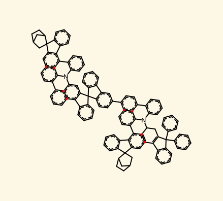 C1=CC(N(c2ccccc2-c2ccc(-c3ccc4c(c3)-c3ccccc3C43c4ccccc4-c4ccc(N(c5ccccc5-c5ccccc5)c5ccccc5-c5cccc6c5-c5ccccc5C65CC6CCC5C6)cc43)cc2)c2ccccc2-c2cccc3c2-c2ccccc2C32CC3CCC2C3)CC2=C1c1ccccc1C2(c1ccccc1)c1ccccc1